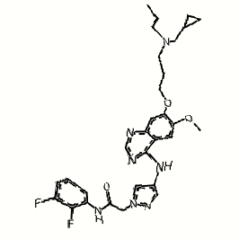 CCCN(CCCOc1cc2ncnc(Nc3cnn(CC(=O)Nc4cccc(F)c4F)c3)c2cc1OC)CC1CC1